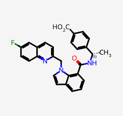 C[C@H](NC(=O)c1cccc2ccn(Cc3ccc4cc(F)ccc4n3)c12)c1ccc(C(=O)O)cc1